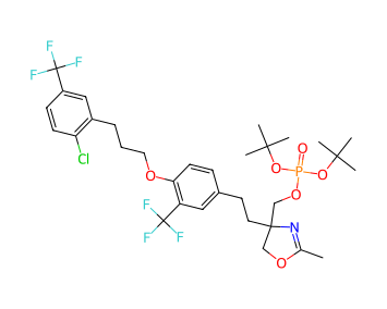 CC1=NC(CCc2ccc(OCCCc3cc(C(F)(F)F)ccc3Cl)c(C(F)(F)F)c2)(COP(=O)(OC(C)(C)C)OC(C)(C)C)CO1